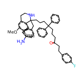 COc1cc2c(cc1OC)C(CCCC(CCCC(=O)CCc1ccc(F)cc1)(c1ccccc1)c1ccccc1)(Cc1ccc(N)cc1)NCC2